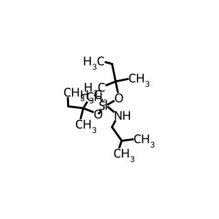 CCC(C)(C)O[Si](C)(NCC(C)C)OC(C)(C)CC